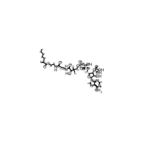 CCCCCC(C)C(=O)SCCNC(=O)CCNC(=O)C(O)C(C)(C)COP(=O)(O)OP(=O)(O)OC[C@H]1O[C@@H](n2cnc3c(N)ncnc32)[C@H](O)[C@@H]1OP(=O)(O)O